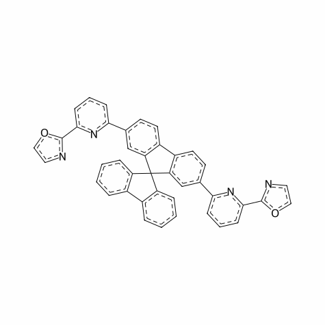 c1cc(-c2ccc3c(c2)C2(c4ccccc4-c4ccccc42)c2cc(-c4cccc(-c5ncco5)n4)ccc2-3)nc(-c2ncco2)c1